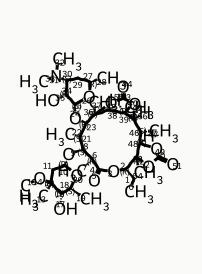 CC[C@H]1OC(=O)[C@H](C)[C@@H](O[C@H]2C[C@@](C)(OC)[C@@H](O)[C@H](C)O2)[C@H](C)[C@@H](O[C@@H]2O[C@H](C)C[C@H](N(C)C)[C@H]2O)[C@@]2(C)C[C@@H](C)[C@H](OC(=O)O2)[C@H](C)[C@H]2OC(=O)O[C@@]21C